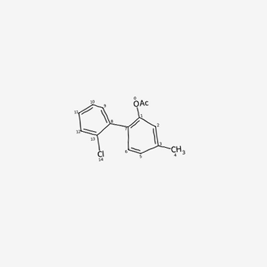 CC(=O)Oc1cc(C)ccc1-c1ccccc1Cl